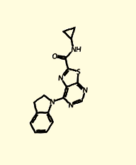 O=C(NC1CC1)c1nc2c(N3CCc4ccccc43)ncnc2s1